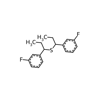 CCC(SC(CC)c1cccc(F)c1)c1cccc(F)c1